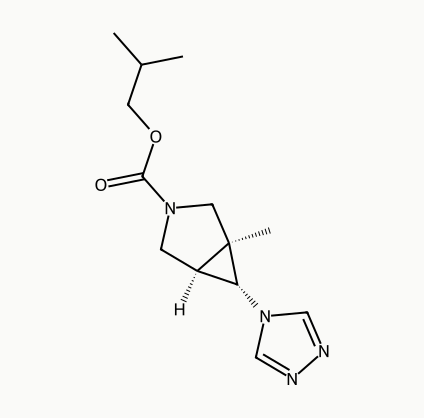 CC(C)COC(=O)N1C[C@@H]2[C@@H](n3cnnc3)[C@]2(C)C1